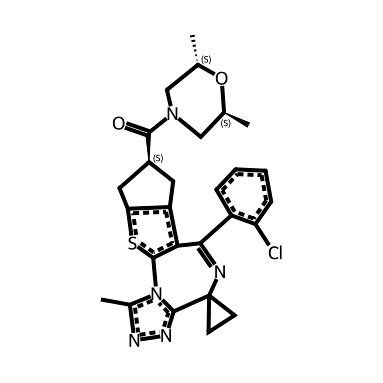 Cc1nnc2n1-c1sc3c(c1C(c1ccccc1Cl)=NC21CC1)C[C@H](C(=O)N1C[C@H](C)O[C@@H](C)C1)C3